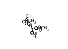 C=C1N(CCC)C(=O)OC12CCN(C/C=C(\c1ccc(OC(C)=O)cc1)c1cccc(C(F)(F)F)c1)CC2